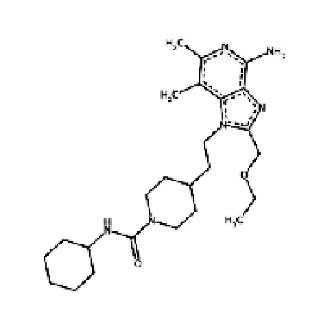 CCOCc1nc2c(N)nc(C)c(C)c2n1CCC1CCN(C(=O)NC2CCCCC2)CC1